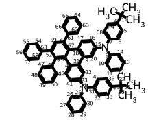 CC(C)(C)c1ccc(N(c2ccccc2)c2ccc3c(c2)c2cc(N(c4ccccc4)c4ccc(C(C)(C)C)cc4)ccc2c2c(-c4ccccc4)c(-c4ccccc4)cc(-c4ccccc4)c32)cc1